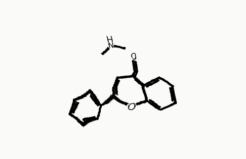 CNC.O=c1cc(-c2ccccc2)oc2ccccc12